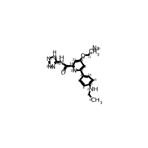 CCNc1ccc(-c2cc(OCC)cc(C(=O)Nc3nnn[nH]3)n2)cc1.[Na]